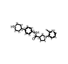 Cc1ncccc1N1CCC(C(=O)Nc2ccc(C3CCNCC3)cc2)C1